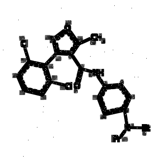 CCN(c1ccc(NC(=O)c2c(-c3c(Cl)cccc3Cl)noc2C)cc1)C(C)C